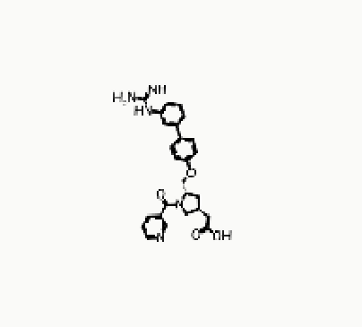 N=C(N)Nc1cccc(-c2ccc(OC[C@@H]3C[C@@H](CC(=O)O)CN3C(=O)c3cccnc3)cc2)c1